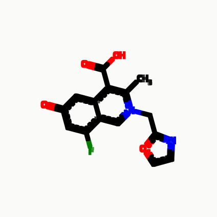 Cc1c(C(=O)O)c2cc(=O)cc(F)c-2cn1Cc1ncco1